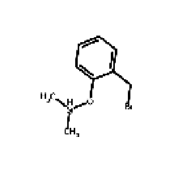 C[SiH](C)Oc1ccccc1CBr